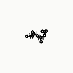 c1ccc(-c2cn3ccc4c(-c5ccc(-c6nc(-c7ccccc7)nc(-c7cccc(-n8c9ccccc9c9ccccc98)c7)n6)cc5)nc5ccccc5c4c3n2)cc1